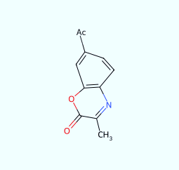 CC(=O)c1ccc2nc(C)c(=O)oc2c1